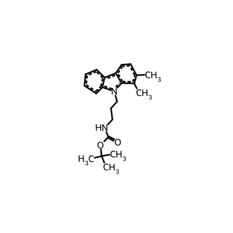 Cc1ccc2c3ccccc3n(CCCNC(=O)OC(C)(C)C)c2c1C